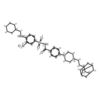 O=C(NS(=O)(=O)c1ccc(NCC2CCCCC2)c([N+](=O)[O-])c1)c1ccc(N2CCN(CCC34CC5CC(CC(C5)C3)C4)CC2)cc1